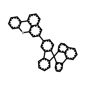 c1ccc2c(c1)Sc1cc(-c3ccc4c(c3)-c3ccccc3C43c4ccccc4-c4cccc5cccc3c45)cc3cccc-2c13